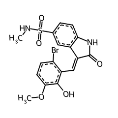 CNS(=O)(=O)c1ccc2c(c1)C(=Cc1c(Br)ccc(OC)c1O)C(=O)N2